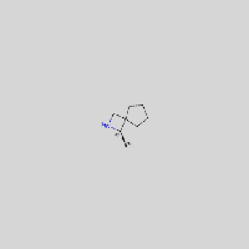 CC(C)[C@H]1NCC12CCCC2